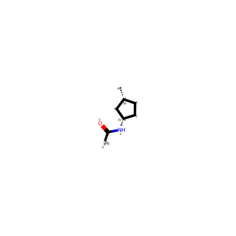 CC(C)C(=O)N[C@H]1CC[C@@H](C)C1